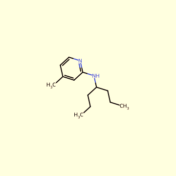 CCCC(CCC)Nc1cc(C)ccn1